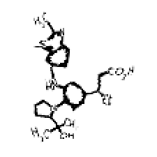 CC[C@H](CC(=O)O)c1ccc(N2CCCC2C(C)(C)O)c(Nc2ccc3nc(C)sc3c2)c1